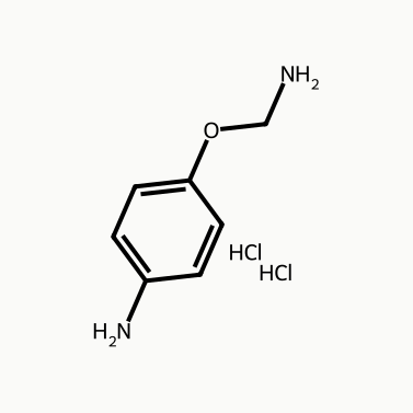 Cl.Cl.NCOc1ccc(N)cc1